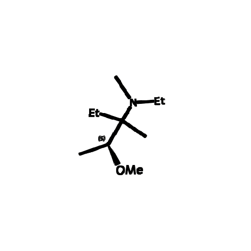 CCN(C)C(C)(CC)[C@H](C)OC